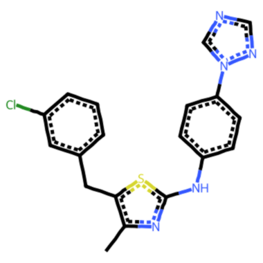 Cc1nc(Nc2ccc(-n3cncn3)cc2)sc1Cc1cccc(Cl)c1